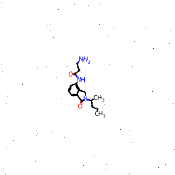 CCCC(C)N1Cc2c(NC(=O)CCN)cccc2C1=O